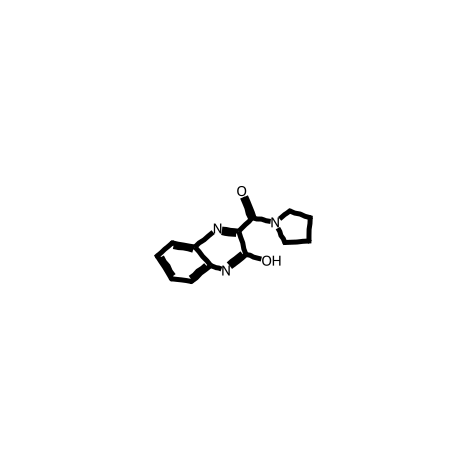 O=C(c1nc2ccccc2nc1O)N1CCCC1